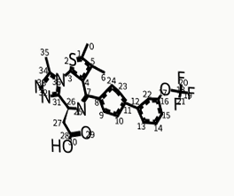 Cc1sc2c(c1C)C(c1ccc(-c3cccc(OC(F)(F)F)c3)cc1)=N[C@@H](CC(=O)O)c1nnc(C)n1-2